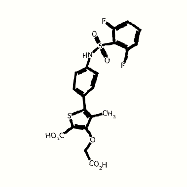 Cc1c(-c2ccc(NS(=O)(=O)c3c(F)cccc3F)cc2)sc(C(=O)O)c1OCC(=O)O